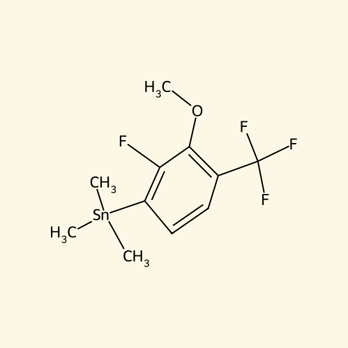 COc1c(C(F)(F)F)cc[c]([Sn]([CH3])([CH3])[CH3])c1F